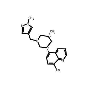 C[C@@H]1C[C@H](c2ccc(C#N)c3ncccc23)CN(Cc2cnn(C)c2)C1